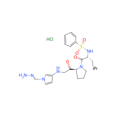 CC(C)C[C@@H](NS(=O)(=O)c1ccccc1)C(=O)N1CCC[C@H]1C(=O)CNc1ccn(C=NN)c1.Cl